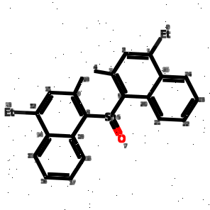 CCc1cc(C)[c]([Sn](=[O])[c]2c(C)cc(CC)c3ccccc23)c2ccccc12